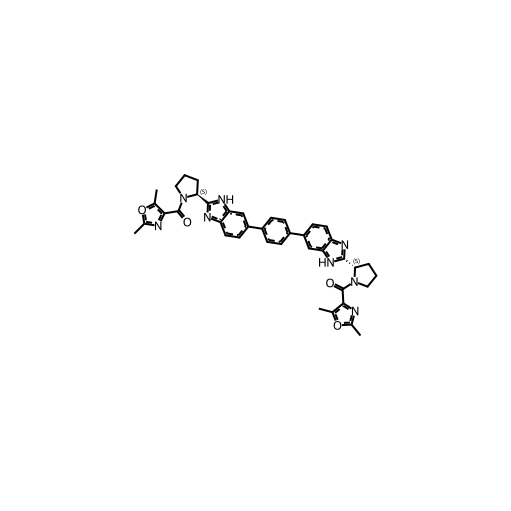 Cc1nc(C(=O)N2CCC[C@H]2c2nc3ccc(-c4ccc(-c5ccc6nc([C@@H]7CCCN7C(=O)c7nc(C)oc7C)[nH]c6c5)cc4)cc3[nH]2)c(C)o1